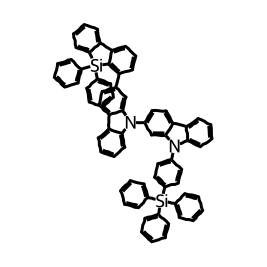 c1ccc([Si](c2ccccc2)(c2ccccc2)c2ccc(-n3c4ccccc4c4ccc(-n5c6ccccc6c6ccc(-c7cccc8c7[Si](c7ccccc7)(c7ccccc7)c7ccccc7-8)cc65)cc43)cc2)cc1